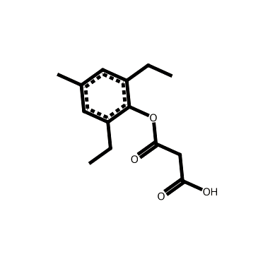 CCc1cc(C)cc(CC)c1OC(=O)CC(=O)O